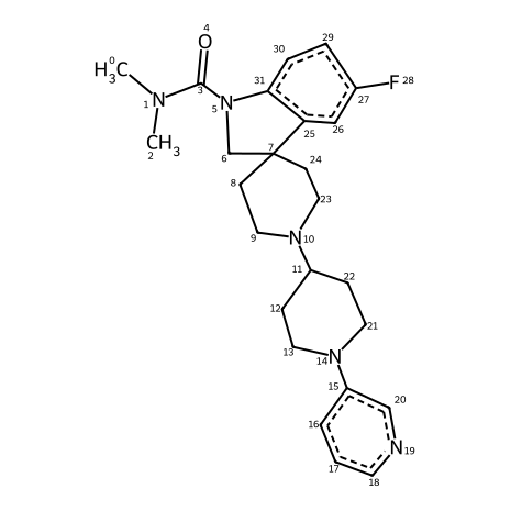 CN(C)C(=O)N1CC2(CCN(C3CCN(c4cccnc4)CC3)CC2)c2cc(F)ccc21